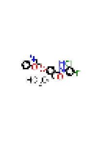 CC(=O)O.Cc1cc(OC[C@@H]2CN(C)c3ccccc3O2)ccc1C(=O)Nc1ccc(F)cc1Cl